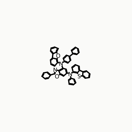 c1ccc(-c2ccc(N(c3cc(N(c4ccccc4)c4cccc5c4sc4ccccc45)cc4oc(-c5ccccc5)nc34)c3cccc4c3oc3ccccc34)cc2)cc1